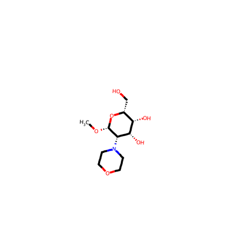 CO[C@@H]1O[C@H](CO)[C@H](O)[C@H](O)[C@@H]1N1CCOCC1